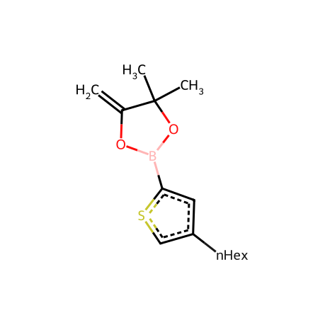 C=C1OB(c2cc(CCCCCC)cs2)OC1(C)C